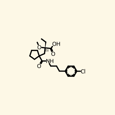 CC[C@@](CC1(C(=O)NCCCc2ccc(Cl)cc2)CCCC1)(OC)C(=O)O